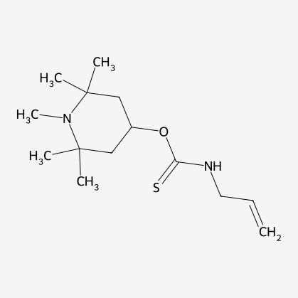 C=CCNC(=S)OC1CC(C)(C)N(C)C(C)(C)C1